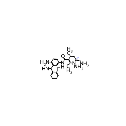 CC1=C/C(=C/N)N(N)C(C)=C1C(=O)Nc1ccc(N)c(C(=N)c2ccccc2F)c1